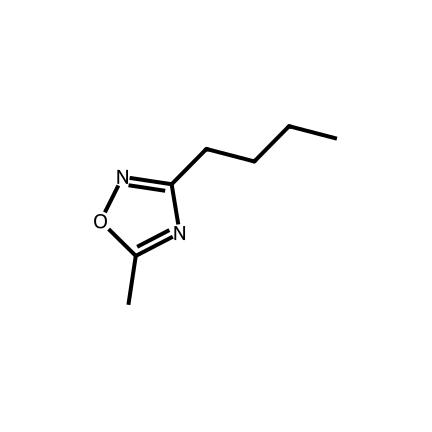 CCCCc1noc(C)n1